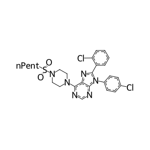 CCCCCS(=O)(=O)N1CCN(c2ncnc3c2nc(-c2ccccc2Cl)n3-c2ccc(Cl)cc2)CC1